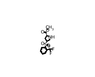 COC(=O)[C@@H]1C[C@H](S(=O)(=O)c2ccccc2C(F)(F)F)CN1